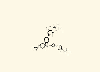 CC(C)n1cnc2cc(-c3ccc4c(c3)N(C3CC(N5CCC(C)(C)C5)C3)C(=O)C43CCN(C4COC4)CC3)nc(Cl)c21